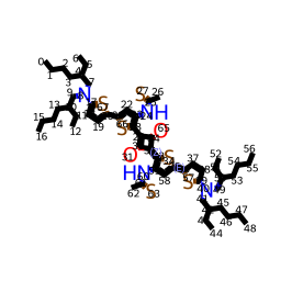 CCCCC(CC)CN(CC(CC)CCCC)c1ccc(-c2cc(NC(C)=S)c(C3=C([O-])/C(=c4/s/c(=C5\C=CC(=[N+](CC(CC)CCCC)CC(CC)CCCC)S5)cc4NC(C)=S)C3=O)s2)s1